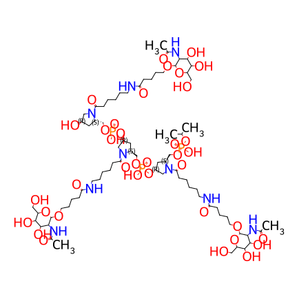 CC(=O)NC1C(OCCCCC(=O)NCCCCCC(=O)N2C[C@H](O)C[C@H]2COP(=O)(O)O[C@@H]2C[C@@H](COP(=O)(O)O[C@@H]3C[C@@H](COP(=O)(O)OC(C)C)N(C(=O)CCCCCNC(=O)CCCCOC4OC(CO)C(O)C(O)C4NC(C)=O)C3)N(C(=O)CCCCCNC(=O)CCCCOC3OC(CO)C(O)C(O)C3NC(C)=O)C2)OC(CO)C(O)C1O